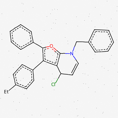 CCc1ccc(-c2c(-c3ccccc3)oc3c2C(Cl)C=CN3Cc2ccccc2)cc1